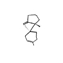 C=C1CCC[C@]1(C)[C@]1(C)CC=C(C)CC1